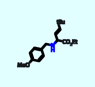 CCOC(=O)C(C=CC(C)(C)C)NCc1ccc(OC)cc1